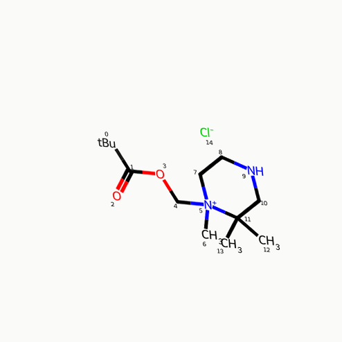 CC(C)(C)C(=O)OC[N+]1(C)CCNCC1(C)C.[Cl-]